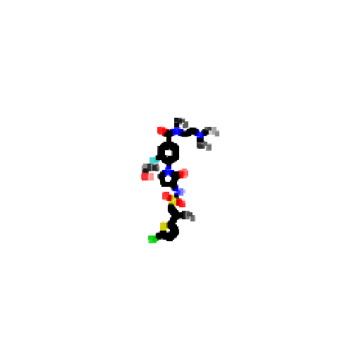 C/C(=C\S(=O)(=O)NC1CCN(c2ccc(C(=O)N(C)CCN(C)C)cc2F)C1=O)c1ccc(Cl)s1.O=CO